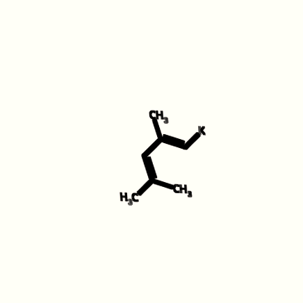 CC(C)=CC(C)=[CH][K]